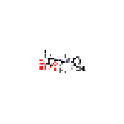 CC(/C=C/C=C(C)/C=C/C1=C(C)CCCC1(C)C)=C(C(=O)O)C(=O)O